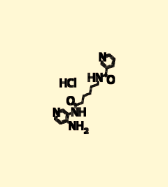 Cl.Nc1ccncc1NC(=O)CCCCCNC(=O)c1cccnc1